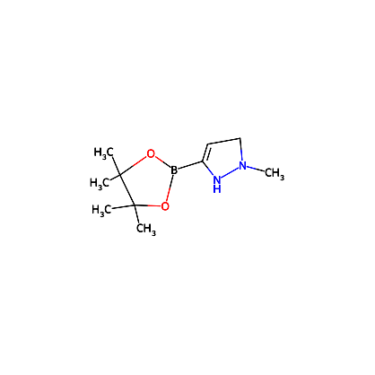 CN1CC=C(B2OC(C)(C)C(C)(C)O2)N1